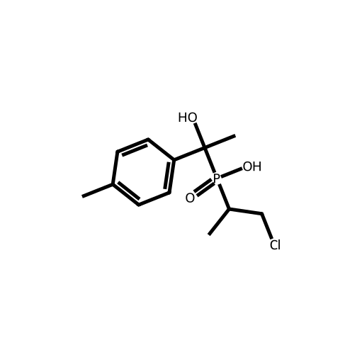 Cc1ccc(C(C)(O)P(=O)(O)C(C)CCl)cc1